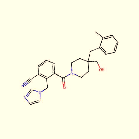 Cc1ccccc1CC1(CO)CCN(C(=O)c2cccc(C#N)c2Cn2ccnc2)CC1